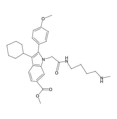 CNCCCCNC(=O)Cn1c(-c2ccc(OC)cc2)c(C2CCCCC2)c2ccc(C(=O)OC)cc21